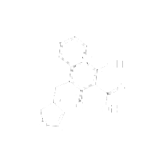 O=C(O)c1c(O)n2ccccc2c(CC2C=COC2)c1=O